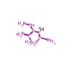 [2H]P(P(P)P)P(PP)P(P)P